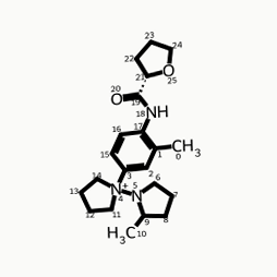 Cc1cc([N+]2(N3CCCC3C)CCCC2)ccc1NC(=O)[C@@H]1CCCO1